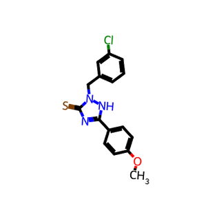 COc1ccc(-c2nc(=S)n(Cc3cccc(Cl)c3)[nH]2)cc1